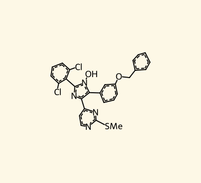 CSc1nccc(-c2nc(-c3c(Cl)cccc3Cl)n(O)c2-c2cccc(OCc3ccccc3)c2)n1